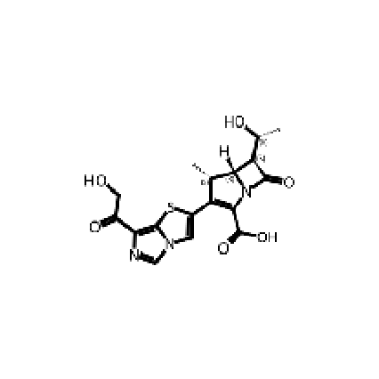 C[C@@H](O)[C@H]1C(=O)N2C(C(=O)O)=C(c3cn4cnc(C(=O)CO)c4s3)[C@H](C)[C@H]12